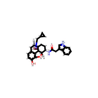 O=C(Cc1c[nH]c2ccccc12)N[C@H]1CC[C@@]2(O)[C@H]3Cc4ccc(O)c5c4[C@@]2(CCN3CC2CC2)[C@H]1O5